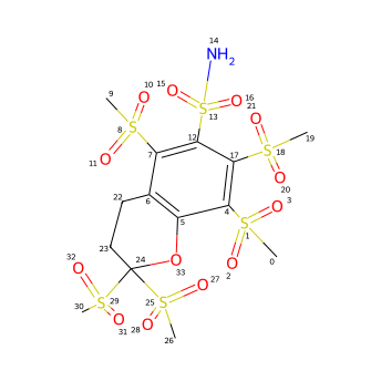 CS(=O)(=O)c1c2c(c(S(C)(=O)=O)c(S(N)(=O)=O)c1S(C)(=O)=O)CCC(S(C)(=O)=O)(S(C)(=O)=O)O2